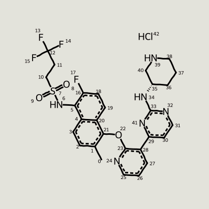 Cc1ccc2c(NS(=O)(=O)CCC(F)(F)F)c(F)ccc2c1Oc1ncccc1-c1ccnc(N[C@H]2CCCNC2)n1.Cl